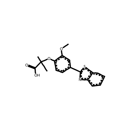 COc1cc(-c2nc3ccccc3s2)ccc1OC(C)(C)C(=O)O